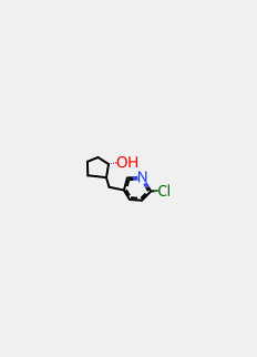 O[C@H]1CCCC1Cc1ccc(Cl)nc1